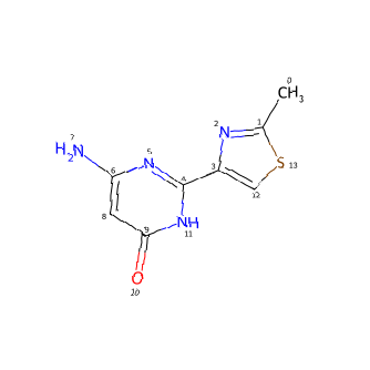 Cc1nc(-c2nc(N)cc(=O)[nH]2)cs1